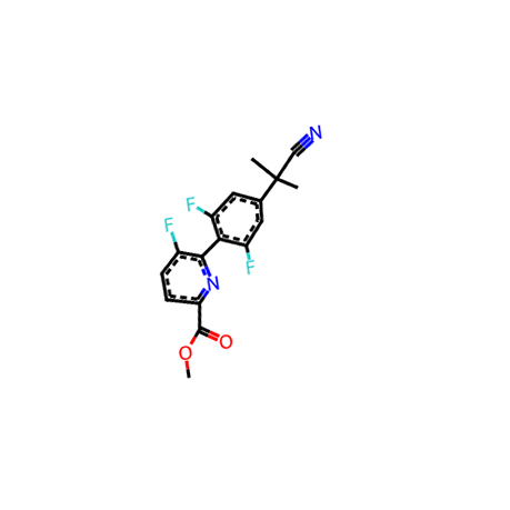 COC(=O)c1ccc(F)c(-c2c(F)cc(C(C)(C)C#N)cc2F)n1